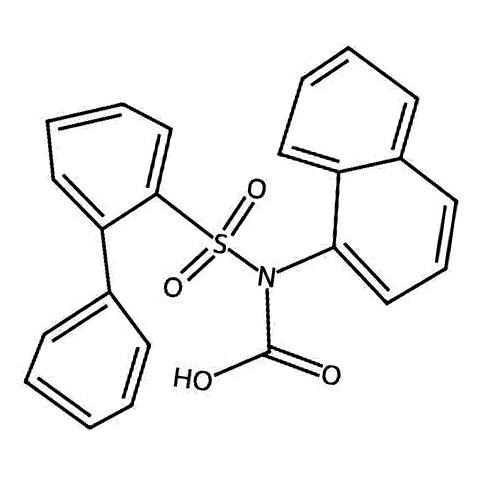 O=C(O)N(c1cccc2ccccc12)S(=O)(=O)c1ccccc1-c1ccccc1